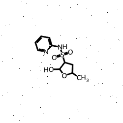 CC1CC(S(=O)(=O)Nc2ccccn2)C(O)O1